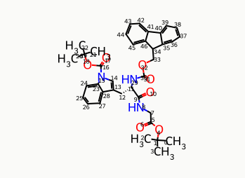 CC(C)(C)OC(=O)CNC(=O)[C@H](Cc1cn(C(=O)OC(C)(C)C)c2ccccc12)NC(=O)OCC1c2ccccc2-c2ccccc21